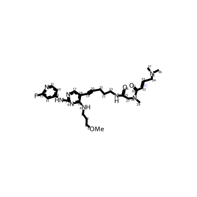 COCCCNc1nc(Nc2ccnc(F)c2)ncc1C#CCCCNC(=O)CN(C)C(=O)/C=C/CN(C)C